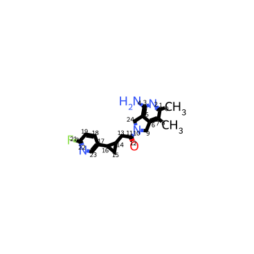 Cc1nc(N)c2c(c1C)CN(C(=O)CC1CC1c1ccc(F)nc1)C2